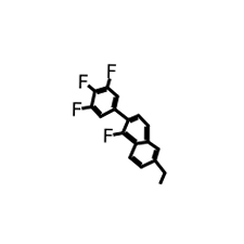 CCc1ccc2c(F)c(-c3cc(F)c(F)c(F)c3)ccc2c1